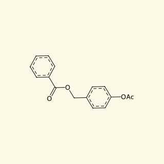 CC(=O)Oc1ccc(COC(=O)c2ccccc2)cc1